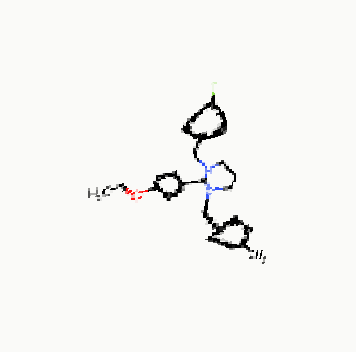 CCOc1ccc(C2N(Cc3ccc(C)cc3)CCCN2Cc2ccc(F)cc2)cc1